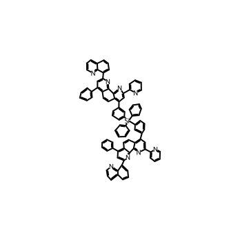 c1ccc(-c2cc(-c3cccc4cccnc34)nc3c2ccc2c(-c4cccc([Si](c5ccccc5)(c5ccccc5)c5cccc(-c6cc(-c7ccccn7)nc7c6ccc6c(-c8ccccc8)cc(-c8cccc9cccnc89)nc67)c5)c4)cc(-c4ccccn4)nc23)cc1